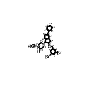 Brc1cc(Br)cc(COC2Cc3cc(-c4ccccc4)ccc3C2N2CCNCC2)c1.Cl.Cl